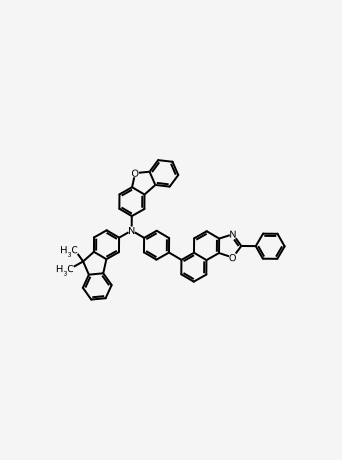 CC1(C)c2ccccc2-c2cc(N(c3ccc(-c4cccc5c4ccc4nc(-c6ccccc6)oc45)cc3)c3ccc4oc5ccccc5c4c3)ccc21